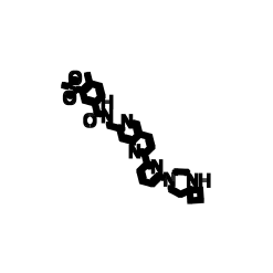 Cc1ccc(C(=O)NCc2cc3nc(-c4cccc(N5CCNC6(CCC6)CC5)n4)ccc3cn2)cc1S(C)(=O)=O